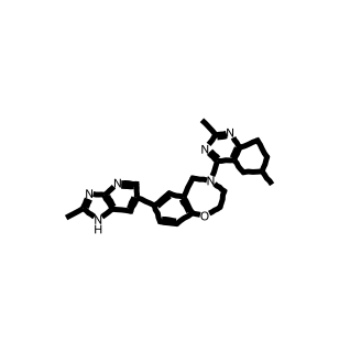 Cc1nc2c(c(N3CCOc4ccc(-c5cnc6nc(C)[nH]c6c5)cc4C3)n1)CC(C)CC2